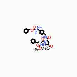 COC(=O)[C@@H]1C[C@@H](C(=O)NCc2ccc(C(=N)NC(=O)OCc3ccccc3)cc2)N(C(=O)[C@@H](CCc2ccccc2)NC(=O)OC(C)(C)C)C1